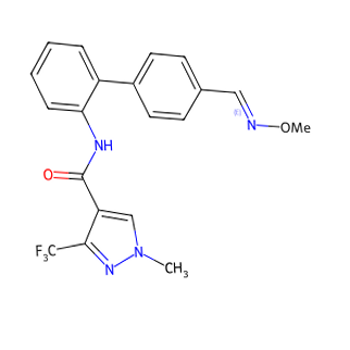 CO/N=C/c1ccc(-c2ccccc2NC(=O)c2cn(C)nc2C(F)(F)F)cc1